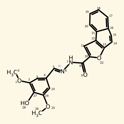 COc1cc(/C=N/NC(=O)c2cc3c(ccc4ccccc43)o2)cc(OC)c1O